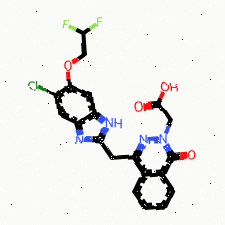 O=C(O)Cn1nc(Cc2nc3cc(Cl)c(OCC(F)F)cc3[nH]2)c2ccccc2c1=O